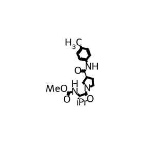 COC(=O)N[C@H](C(=O)N1CC[C@H](C(=O)Nc2ccc(C)cc2)C1)C(C)C